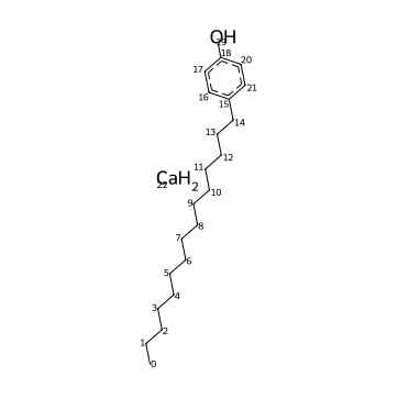 CCCCCCCCCCCCCCCc1ccc(O)cc1.[CaH2]